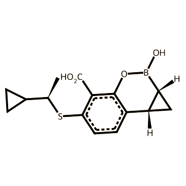 C[C@@H](Sc1ccc2c(c1C(=O)O)OB(O)[C@@H]1C[C@H]21)C1CC1